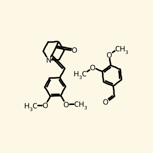 COc1ccc(C=C2C(=O)C3CCN2CC3)cc1OC.COc1ccc(C=O)cc1OC